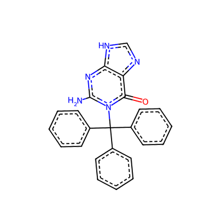 Nc1nc2[nH]cnc2c(=O)n1C(c1ccccc1)(c1ccccc1)c1ccccc1